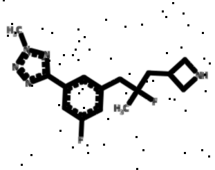 Cn1nnc(-c2cc(F)cc(CC(C)(F)CC3CNC3)c2)n1